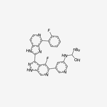 CCCCC(O)Nc1cncc(-c2ncc3[nH]nc(-c4nc5c(-c6ccccc6F)nccc5[nH]4)c3c2F)c1